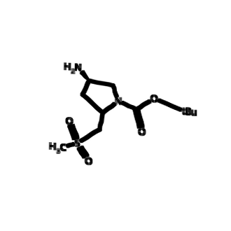 CC(C)(C)OC(=O)N1C[C@H](N)CC1CS(C)(=O)=O